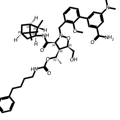 COc1c(CN2O[C@@H](CO)[C@@H]([C@H](C)OC(=O)NCCCCc3ccccc3)[C@H]2C(=O)N[C@H]2C[C@H]3C[C@@H]([C@@H]2C)C3(C)C)cccc1-c1cc(C(N)=O)cc(N(C)C)c1